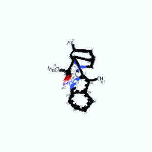 CCC1=CC2CN(C)C1C(C(=O)OC)(c1[nH]c3ccccc3c1C)C2